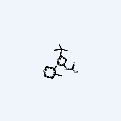 Cc1ccncc1-n1nc(C(C)(C)C)cc1NC(=O)O